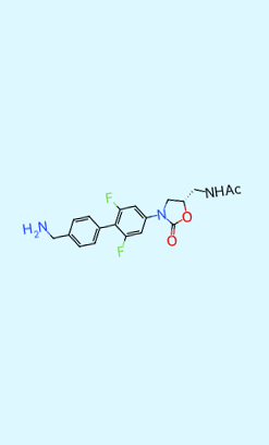 CC(=O)NC[C@H]1CN(c2cc(F)c(-c3ccc(CN)cc3)c(F)c2)C(=O)O1